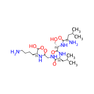 CC(C)C[C@H](NC(=O)[C@H](CO)NC(=O)[C@@H](N)CC(C)C)C(=O)NCC(=O)N[C@@H](CCCCN)C(=O)O